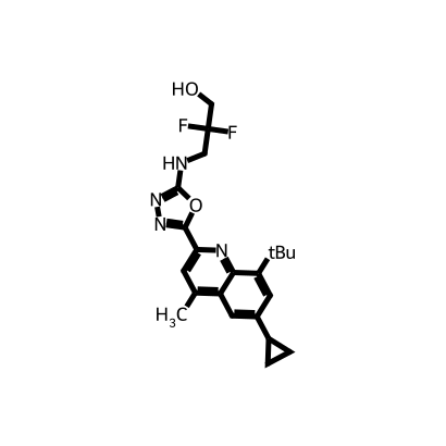 Cc1cc(-c2nnc(NCC(F)(F)CO)o2)nc2c(C(C)(C)C)cc(C3CC3)cc12